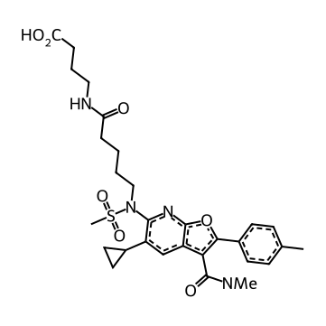 CNC(=O)c1c(-c2ccc(C)cc2)oc2nc(N(CCCCC(=O)NCCCC(=O)O)S(C)(=O)=O)c(C3CC3)cc12